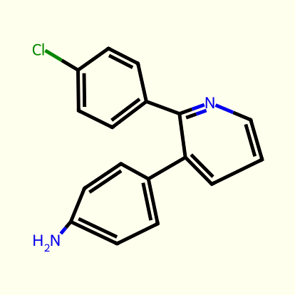 Nc1ccc(-c2cccnc2-c2ccc(Cl)cc2)cc1